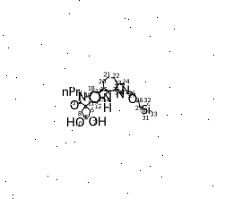 CCCN1C(=O)C(CCO)(CCO)c2cc3[nH]c4c(c3cc21)CCCc1cn(COCC[Si](C)(C)C)nc1-4